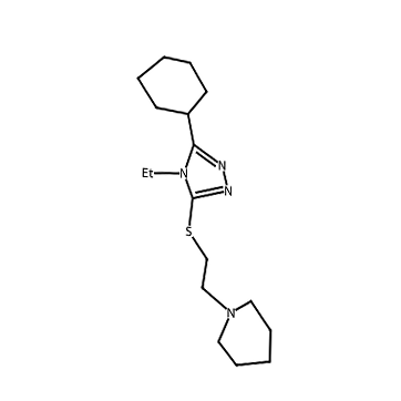 CCn1c(SCCN2CCCCC2)nnc1C1CCCCC1